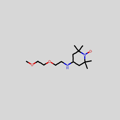 COCCOCCNC1CC(C)(C)N([O])C(C)(C)C1